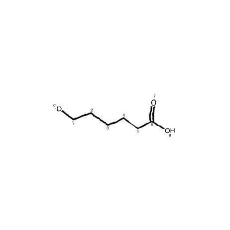 [O]CCCCCC(=O)O